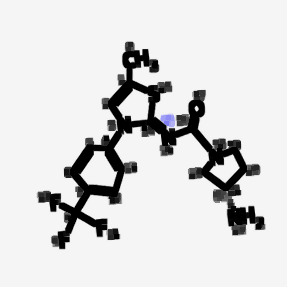 Cc1cn(-c2ccc(C(F)(F)F)cc2)/c(=N/C(=O)N2CC[C@H](N)C2)s1